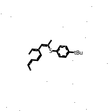 C\C=C/C=C\C(\C=C(\C)Sc1ccc(C(C)(C)C)cc1)=C/C